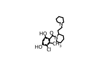 Cc1c(Cl)c(O)cc(O)c1C(=O)N1CCCCC1CCN1CCCCC1